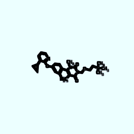 Cc1cc(Oc2ncccc2C2CC2)ccc1-c1c(C)c(=O)n(COCC[Si](C)(C)C)c(=O)n1C